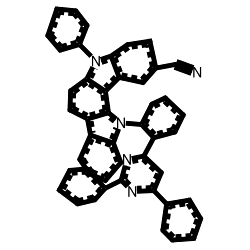 N#Cc1ccc2c(c1)c1c(ccc3c4ccccc4n(-c4ccccc4-c4cc(-c5ccccc5)nc(-c5ccccc5)n4)c31)n2-c1ccccc1